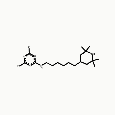 CC1(C)CC(CCCCCCNc2nc(Cl)nc(Cl)n2)CC(C)(C)N1